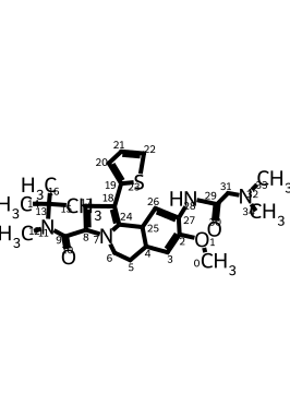 COC1=CC2CCn3c(C(=O)N(C)C(C)(C)C)cc(-c4cccs4)c3C2C=C1NC(=O)CN(C)C